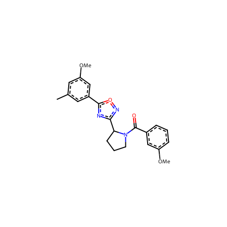 COc1cccc(C(=O)N2CCCC2c2noc(-c3cc(C)cc(OC)c3)n2)c1